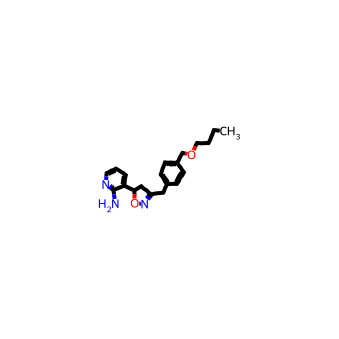 CCCCOCc1ccc(CC2=NOC(c3cccnc3N)C2)cc1